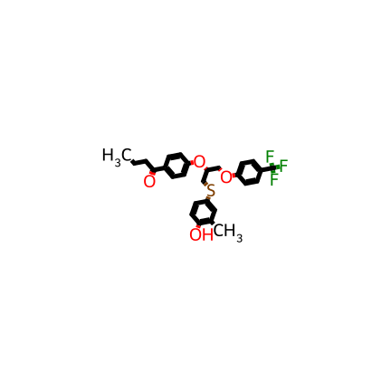 CCCC(=O)c1ccc(OC(COc2ccc(C(F)(F)F)cc2)CSc2ccc(O)c(C)c2)cc1